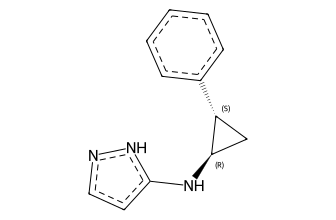 c1ccc([C@@H]2C[C@H]2Nc2ccn[nH]2)cc1